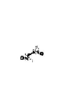 CC(OC(=O)CCCCC(=O)OC(C)SOC1CCCCC1)SOC1CCCCC1